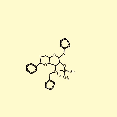 CC(C)(C)[Si](C)(C)OC1C(Sc2ccccc2)OC2COC(c3ccccc3)OC2C1OCc1ccccc1